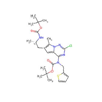 Cc1c(C[C@H](C)NC(=O)OC(C)(C)C)cc2c(N(Cc3cccs3)C(=O)OC(C)(C)C)nc(Cl)nn12